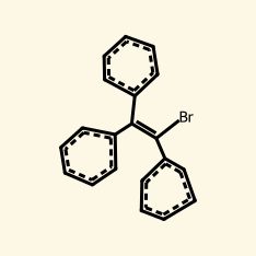 BrC(=C(c1ccccc1)c1ccccc1)c1ccccc1